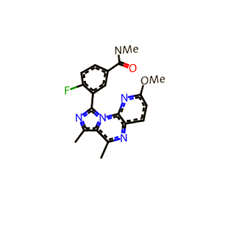 CNC(=O)c1ccc(F)c(-c2nc(C)c3c(C)nc4ccc(OC)nc4n23)c1